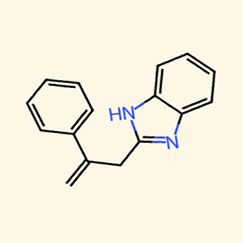 C=C(Cc1nc2ccccc2[nH]1)c1ccccc1